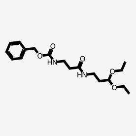 CCOC(CCNC(=O)CCNC(=O)OCc1ccccc1)OCC